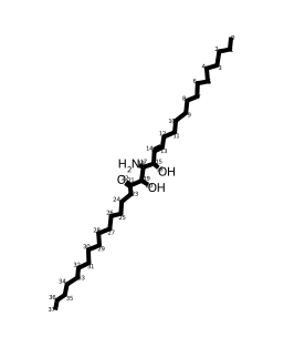 CCCCCCCCCCCCCC=CC(O)C(N)C(O)C(=O)CCCCCCCCCCCCCCC